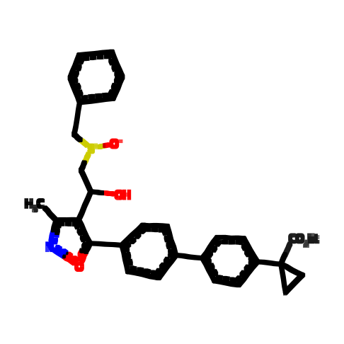 CCOC(=O)C1(c2ccc(-c3ccc(-c4onc(C)c4C(O)C[S+]([O-])Cc4ccccc4)cc3)cc2)CC1